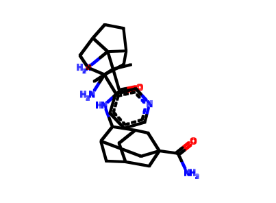 CC(C)(C(=O)NC1C2CC3CC1CC(C(N)=O)(C3)C2)C1(N)C2CCC1CC(N)(c1cccnc1)CC2